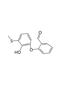 CSc1cccc(Oc2ccccc2C=O)c1O